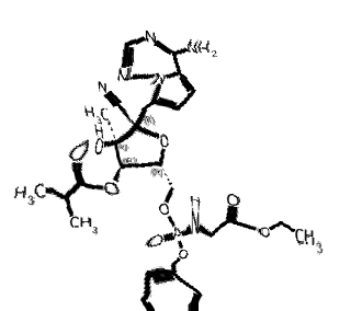 CCOC(=O)CNP(=O)(OC[C@H]1O[C@@](C#N)(c2ccc3c(N)ncnn23)[C@](C)(O)[C@@H]1OC(=O)C(C)C)Oc1ccccc1